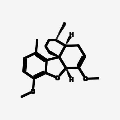 COC1=CC[C@@H]2[C@@H](C)CCC[C@@]23c2c(C)ccc(OC)c2O[C@H]13